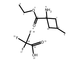 CCOC(=O)C1(N)CC(C)C1.O=C(O)C(F)(F)F